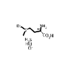 CC[S+](C)CC[C@H](N)C(=O)O.Cl.S.[Cl-]